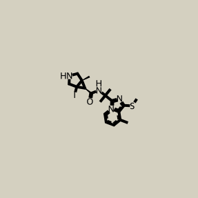 CSc1nc(C(C)(C)NC(=O)[C@H]2C3(I)CNC[C@]23C)n2cccc(C)c12